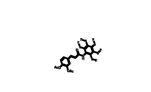 CC(=O)Oc1ccc(C=CC(=O)Nc2c(SF)c(SF)c(SF)c(SF)c2SF)cc1OC(C)=O